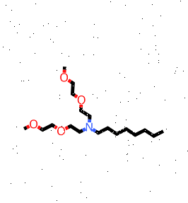 CCCCCCCCN(CCOCCOC)CCOCCOC